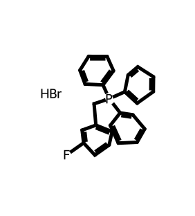 Br.Fc1cccc(C[P](c2ccccc2)(c2ccccc2)c2ccccc2)c1